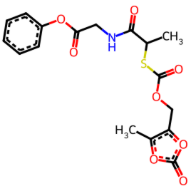 Cc1oc(=O)oc1COC(=O)SC(C)C(=O)NCC(=O)Oc1ccccc1